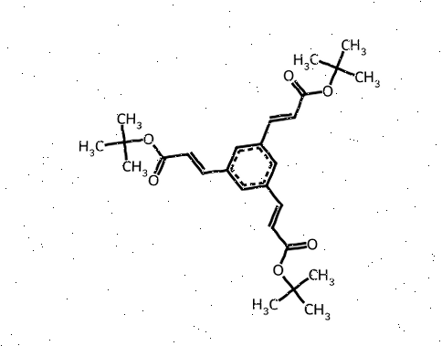 CC(C)(C)OC(=O)/C=C/c1cc(/C=C/C(=O)OC(C)(C)C)cc(/C=C/C(=O)OC(C)(C)C)c1